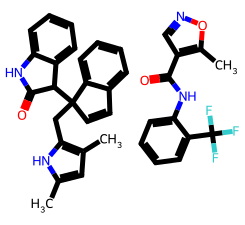 Cc1cc(C)c(CC2(C3C(=O)Nc4ccccc43)C=Cc3ccccc32)[nH]1.Cc1oncc1C(=O)Nc1ccccc1C(F)(F)F